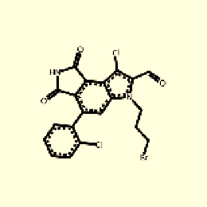 O=Cc1c(Cl)c2c3c(c(-c4ccccc4Cl)cc2n1CCCBr)C(=O)NC3=O